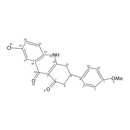 COc1ccc(C2CC(=O)c3c([nH]c4ccc(Cl)cc4c3=O)C2)cc1